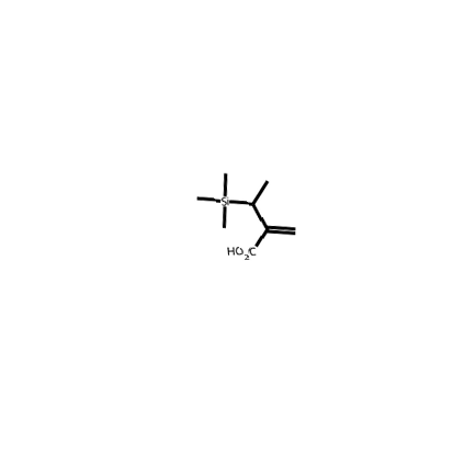 C=C(C(=O)O)C(C)[Si](C)(C)C